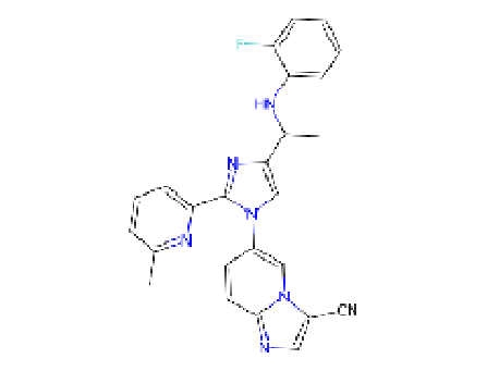 Cc1cccc(-c2nc(C(C)Nc3ccccc3F)cn2-c2ccc3ncc(C#N)n3c2)n1